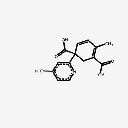 CC1=C(C(=O)O)CC(C(=O)O)(c2cc(C)ccn2)C=C1